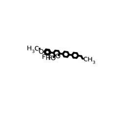 CCCC1CCC(C2CCC(C3CCC(c4ccc(OCC)c(F)c4F)C(O)O3)CC2)CC1